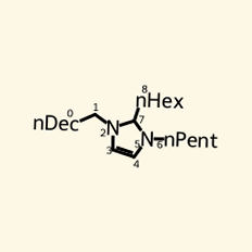 CCCCCCCCCCCN1C=CN(CCCCC)C1CCCCCC